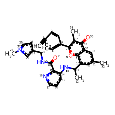 C#C/C=C\C(=C/C)c1oc2c(C(C)Nc3cccnc3C(=O)NCc3ccn(C)c3)cc(C)cc2c(=O)c1C